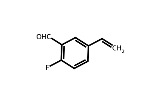 C=Cc1ccc(F)c(C=O)c1